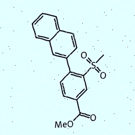 COC(=O)c1ccc(-c2ccc3ccccc3c2)c(S(C)(=O)=O)c1